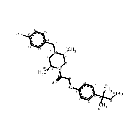 C[C@@H]1CN(C(=O)COc2ccc(C(C)(C)CC(C)(C)C)cc2)[C@@H](C)CN1Cc1ccc(F)cc1